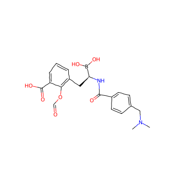 CN(C)Cc1ccc(C(=O)N[C@@H](Cc2cccc(C(=O)O)c2OC=O)B(O)O)cc1